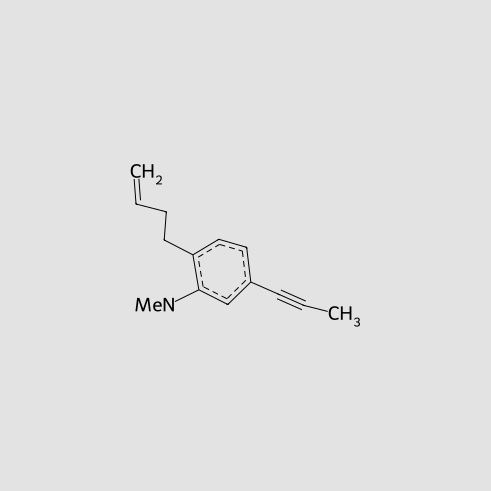 C=CCCc1ccc(C#CC)cc1NC